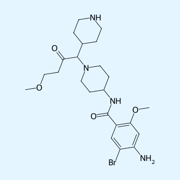 COCCC(=O)C(C1CCNCC1)N1CCC(NC(=O)c2cc(Br)c(N)cc2OC)CC1